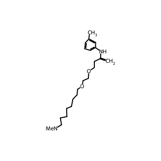 C=C(CCOCCOCCCCCCCCNC)Nc1cccc(C)c1